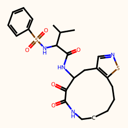 CC(C)C(NS(=O)(=O)c1ccccc1)C(=O)NC1Cc2cnsc2CCCCCNC(=O)C1=O